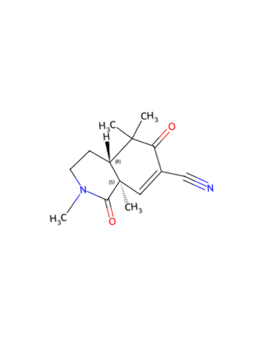 CN1CC[C@@H]2C(C)(C)C(=O)C(C#N)=C[C@@]2(C)C1=O